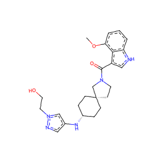 COc1cccc2[nH]cc(C(=O)N3CC[C@]4(CC[C@@H](Nc5cnn(CCO)c5)CC4)C3)c12